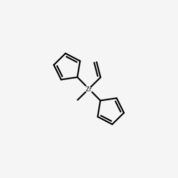 C=[CH][Zr]([CH3])([CH]1C=CC=C1)[CH]1C=CC=C1